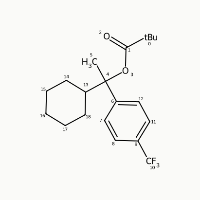 CC(C)(C)C(=O)OC(C)(c1ccc(C(F)(F)F)cc1)C1CCCCC1